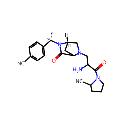 C[C@@H](c1ccc(C#N)cc1)N1C(=O)C2C[C@H]1CN2CC(N)C(=O)N1CCCC1C#N